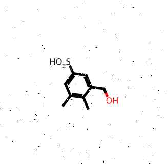 Cc1cc(S(=O)(=O)O)cc(CO)c1C